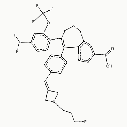 O=C(O)c1ccc2c(c1)CCCC(c1ccc(C(F)F)cc1OC(F)(F)F)=C2c1ccc(C=C2CN(CCCF)C2)cc1